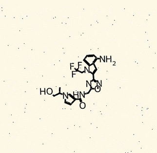 CC(CO)n1ccc(C(=O)NCc2nc(-c3cc4c(N)cccc4n3CC(F)(F)F)no2)c1